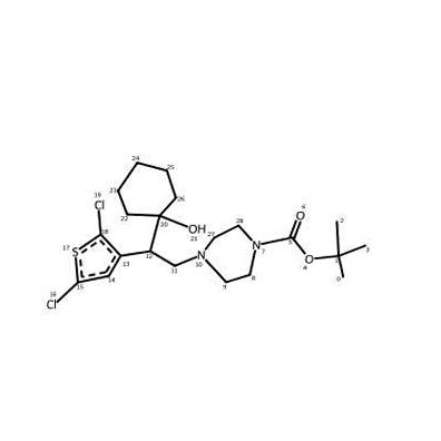 CC(C)(C)OC(=O)N1CCN(CC(c2cc(Cl)sc2Cl)C2(O)CCCCC2)CC1